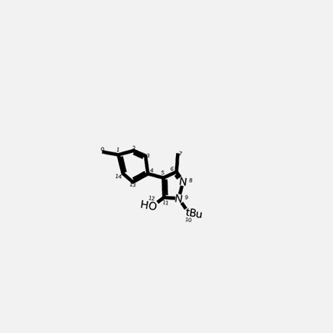 Cc1ccc(-c2c(C)nn(C(C)(C)C)c2O)cc1